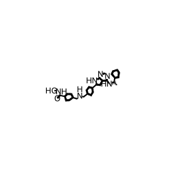 C[C@@H](Nc1ncnc2[nH]c(-c3ccc(CNCc4ccc(C(=O)NO)cc4)cc3)cc12)c1ccccc1